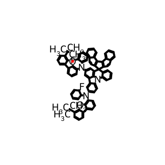 CC(C)(C)c1cccc2c1oc1c(N(c3cc4c5c(c3)c3cc(N(c6cccc7c6oc6c(C(C)(C)C)cccc67)C6C=CC=CC6F)ccc3n5-c3ccccc3C43c4ccc5ccccc5c4-c4c3ccc3ccccc43)c3ccccc3F)cccc12